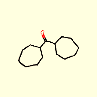 O=C(C1CCCCCC1)C1CCCCCC1